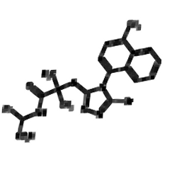 Cc1ccc(-n2c(Br)nnc2SC(C)(C)C(=O)NC(C(=O)O)C(C)C)c2ccccc12